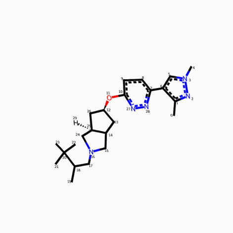 Cc1nn(C)cc1-c1ccc(O[C@H]2CC3CN(CC(C)C(C)(C)C)C[C@H]3C2)nn1